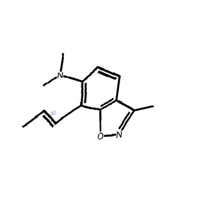 C/C=C/c1c(N(C)C)ccc2c(C)noc12